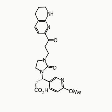 COc1ccc([C@H](CC(=O)O)N2CCN(CCC(=O)c3ccc4c(n3)NCCC4)C2=O)cn1